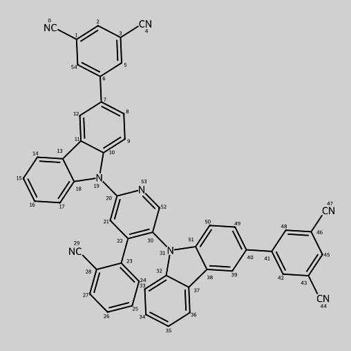 N#Cc1cc(C#N)cc(-c2ccc3c(c2)c2ccccc2n3-c2cc(-c3ccccc3C#N)c(-n3c4ccccc4c4cc(-c5cc(C#N)cc(C#N)c5)ccc43)cn2)c1